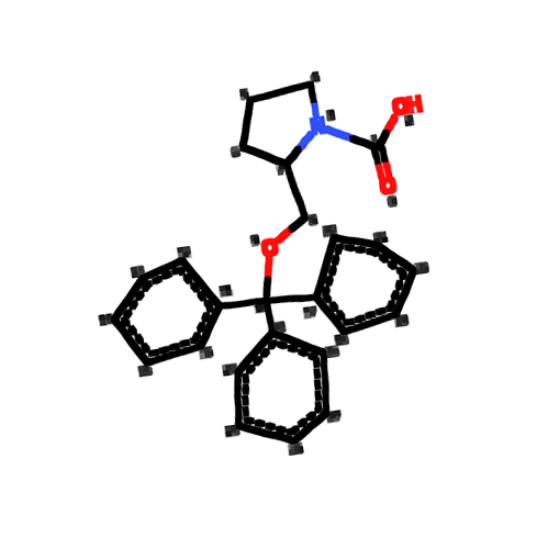 O=C(O)N1CCCC1COC(c1ccccc1)(c1ccccc1)c1ccccc1